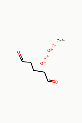 O=CCCCC=O.[O-2].[O-2].[O-2].[O-2].[Os+8]